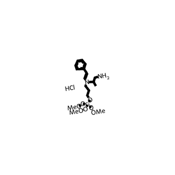 COO[Si](OCCCN(C=Cc1ccccc1)C(C)CN)(OOC)OOC.Cl